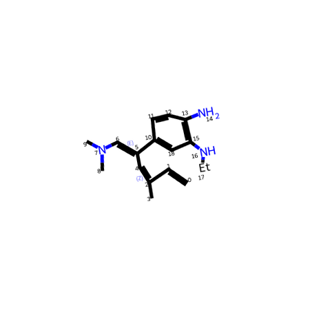 C=C/C(C)=C\C(=C/N(C)C)c1ccc(N)c(NCC)c1